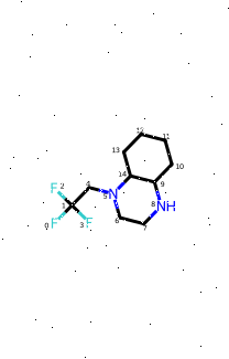 FC(F)(F)CN1CCNC2CCCCC21